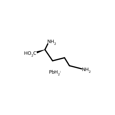 NCCC[C@H](N)C(=O)O.[PbH2]